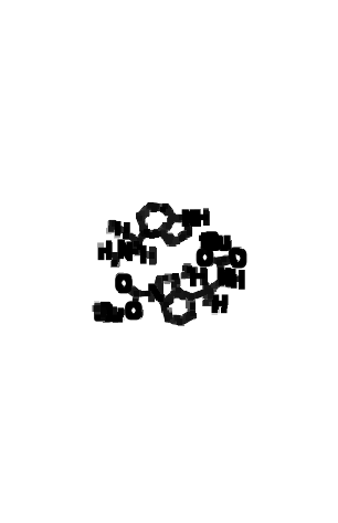 [2H]C([2H])(N)c1cccc2[nH]ccc12.[2H]C([2H])(NC(=O)OC(C)(C)C)c1cccc2c1ccn2C(=O)OC(C)(C)C